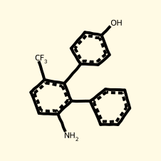 Nc1ccc(C(F)(F)F)c(-c2ccc(O)cc2)c1-c1ccccc1